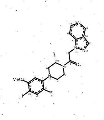 COc1cc(N2CCN(C(=O)Cn3ncc4cnccc43)[C@@H](C)C2)c(F)cc1I